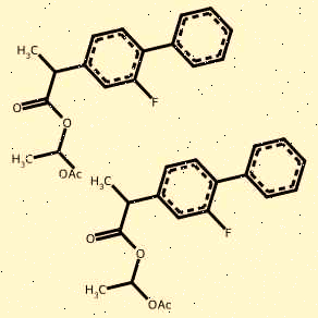 CC(=O)OC(C)OC(=O)C(C)c1ccc(-c2ccccc2)c(F)c1.CC(=O)OC(C)OC(=O)C(C)c1ccc(-c2ccccc2)c(F)c1